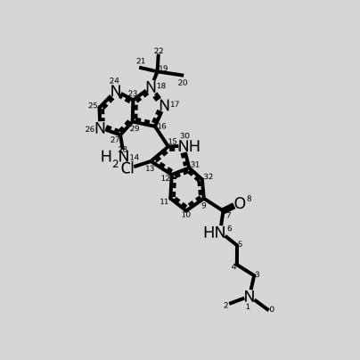 CN(C)CCCNC(=O)c1ccc2c(Cl)c(-c3nn(C(C)(C)C)c4ncnc(N)c34)[nH]c2c1